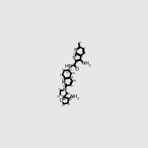 Cc1ccc2c(N)c(C(=O)N[C@H]3CCc4nc(N5CC[C@@]6(C5)OCC[C@@H]6N)ccc4C3)sc2n1